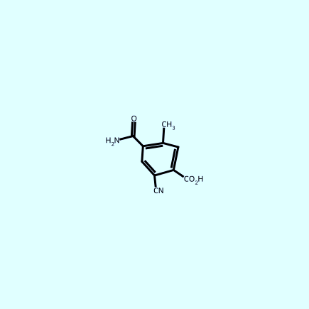 Cc1cc(C(=O)O)c(C#N)cc1C(N)=O